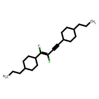 CCCC1CCC(C#CC(F)=C(F)C2CCC(CCC)CC2)CC1